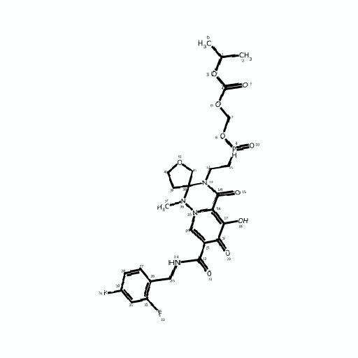 CC(C)OC(=O)OCO[PH](=O)CCN1C(=O)c2c(O)c(=O)c(C(=O)NCc3ccc(F)cc3F)cn2N(C)C12CCOC2